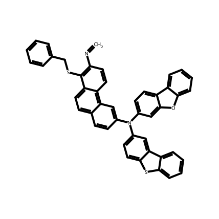 C=Nc1ccc2c(ccc3ccc(N(c4ccc5c(c4)oc4ccccc45)c4ccc5sc6ccccc6c5c4)cc32)c1SCc1ccccc1